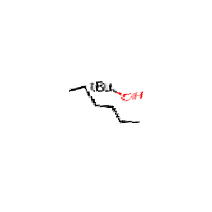 CC(C)(C)O.CCCCCC